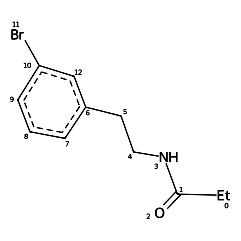 CCC(=O)NCCc1cccc(Br)c1